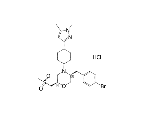 Cc1cc(C2CCC(N3C[C@H](CS(C)(=O)=O)OC[C@@H]3Cc3ccc(Br)cc3)CC2)nn1C.Cl